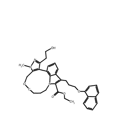 CCOC(=O)c1c(CCCOc2cccc3ccccc23)c2cccc3c2n1CCCCOCc1c-3c(CCO)nn1C